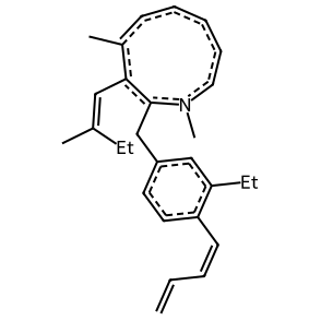 C=C/C=C\c1ccc(Cc2c(/C=C(/C)CC)c(C)cccccn2C)cc1CC